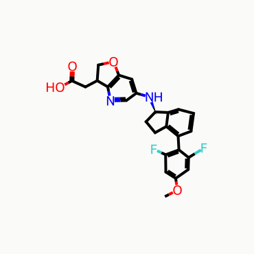 COc1cc(F)c(-c2cccc3c2CC[C@H]3Nc2cnc3c(c2)OCC3CC(=O)O)c(F)c1